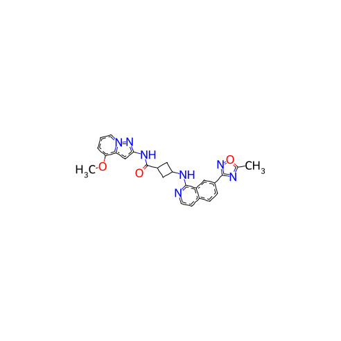 COc1cccn2nc(NC(=O)C3CC(Nc4nccc5ccc(-c6noc(C)n6)cc45)C3)cc12